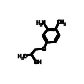 Cc1ccc(OCC(C)O)cc1N